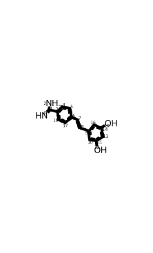 N=C(N)c1ccc(C=Cc2cc(O)cc(O)c2)cc1